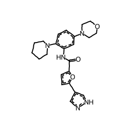 O=C(Nc1cc(N2CCOCC2)ccc1N1CCCCC1)c1ccc(-c2cn[nH]c2)o1